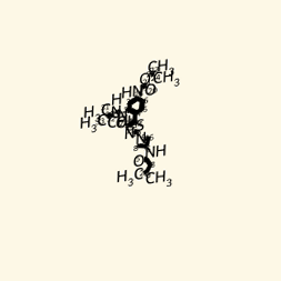 CC(C)CC(=O)NC1CN(c2ncc(-c3ccc(NC(=O)OC(C)C)cc3N(O)NC(C)(C)C)s2)C1